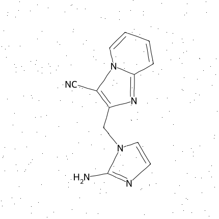 N#Cc1c(Cn2ccnc2N)nc2ccccn12